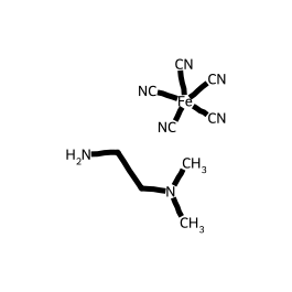 CN(C)CCN.N#[C][Fe]([C]#N)([C]#N)([C]#N)[C]#N